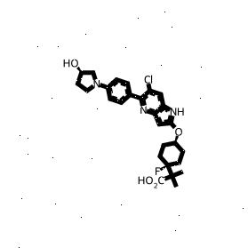 CC(C)(C(=O)O)[C@]1(F)CC[C@@H](Oc2cc3nc(-c4ccc(N5CC[C@@H](O)C5)cc4)c(Cl)cc3[nH]2)CC1